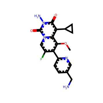 COc1c(-c2ccc(CN)cn2)c(F)cn2c(=O)n(N)c(=O)c(C3CC3)c12